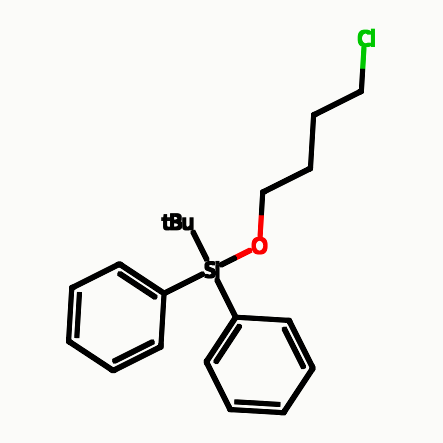 CC(C)(C)[Si](OCCCCCl)(c1ccccc1)c1ccccc1